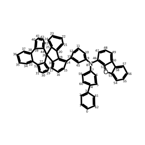 c1ccc(-c2ccc(N(c3cccc(-c4cccc5c4-c4ccccc4C54c5ccccc5-c5ccccc5-c5ccccc54)c3)c3cccc4c3oc3ccccc34)cc2)cc1